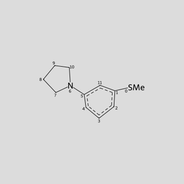 CSc1cccc(N2CCCC2)c1